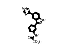 O=C(O)C(=O)Nc1cccc(-c2n[nH]c3ccc(-c4nc[nH]n4)cc23)c1